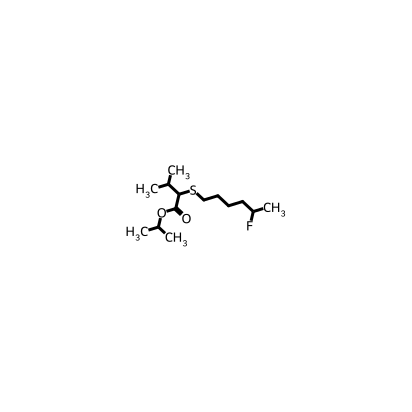 CC(F)CCCCSC(C(=O)OC(C)C)C(C)C